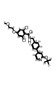 COCCOc1cc(Cl)c(C(=O)NCc2ccc(-c3ccnc(OC(C)(C)C)c3)cc2)c(Cl)c1